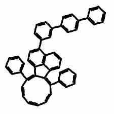 c1ccc(-c2ccc(-c3cccc(-c4ccc5c6c(cccc46)-c4c(-c6ccccc6)ccccccc(-c6ccccc6)c4-5)c3)cc2)cc1